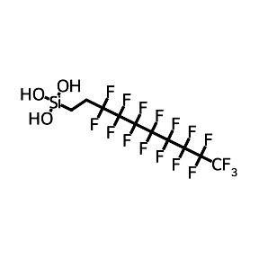 O[Si](O)(O)CCC(F)(F)C(F)(F)C(F)(F)C(F)(F)C(F)(F)C(F)(F)C(F)(F)C(F)(F)F